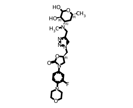 C[C@@H]1C[C@H](N(C)Cc2cn(C[C@H]3CN(c4ccc(N5CCOCC5)c(F)c4)C(=O)O3)nn2)[C@@H](O)C(O)O1